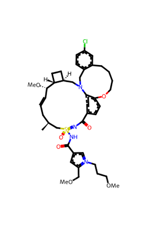 COCCCn1cc(C(=O)NS2(=O)=NC(=O)c3ccc4c(c3)N(Cc3ccc(Cl)cc3CCCCO4)C[C@@H]3CC[C@H]3[C@@H](OC)/C=C/C[C@H](C)C2)cc1COC